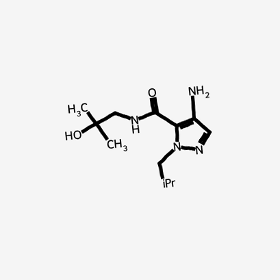 CC(C)Cn1ncc(N)c1C(=O)NCC(C)(C)O